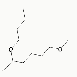 [CH2]C(CCCCOC)OCCCC